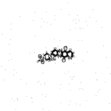 CS(=O)(=O)N1CCN(c2ccc3nc4c(nc3c2C#N)C(=O)c2ncccc2C4=O)CC1